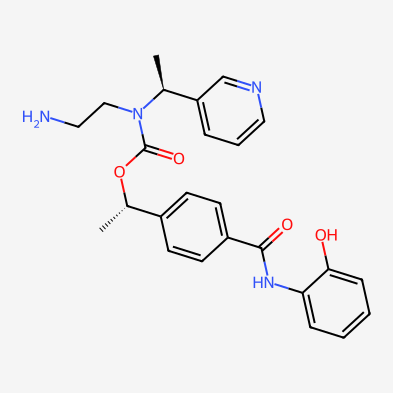 C[C@H](OC(=O)N(CCN)[C@@H](C)c1cccnc1)c1ccc(C(=O)Nc2ccccc2O)cc1